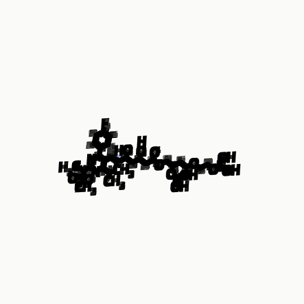 CC(C)c1nc(N(C)S(C)(=O)=O)nc(-c2ccc(F)cc2)c1/C=C/C(O)CC(O)CC(=O)OCC(CCOCCON(O)O)ON(O)O